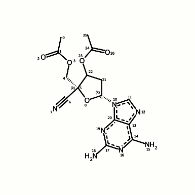 CC(=O)OC[C@@]1(C#N)O[C@@H](n2cnc3c(N)nc(N)nc32)CC1OC(C)=O